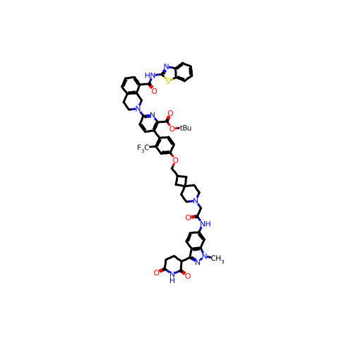 Cn1nc(C2CCC(=O)NC2=O)c2ccc(NC(=O)CN3CCC4(CC3)CC(COc3ccc(-c5ccc(N6CCc7cccc(C(=O)Nc8nc9ccccc9s8)c7C6)nc5C(=O)OC(C)(C)C)c(C(F)(F)F)c3)C4)cc21